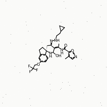 C/C(NC(=O)c1oncc1C)=C1\C(=N/NCCC2CC2)C[C@]2(CCc3cc(OCC(F)(F)F)ccc32)NC1O